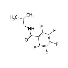 CC(C)CNC(=O)c1c(F)c(F)c(F)c(F)c1F